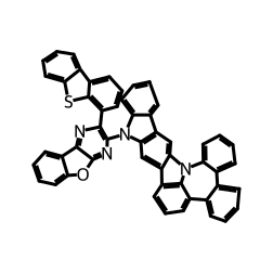 c1ccc2c(c1)-c1ccccc1-n1c3cc4c5ccccc5n(-c5nc6oc7ccccc7c6nc5-c5cccc6c5sc5ccccc56)c4cc3c3cccc-2c31